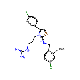 COc1cc(Cl)ccc1C/N=c1\scc(-c2ccc(F)cc2)n1CCCNC(=N)N